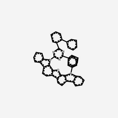 c1ccc(-c2nc(-c3ccccc3-c3ccccc3)nc(-n3c4ccccc4c4ccc5c6ccc7c8ccccc8n(-c8ccccc8)c7c6oc5c43)n2)cc1